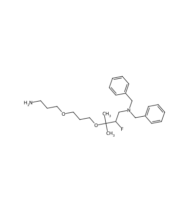 CC(C)(OCCCOCCCN)C(F)CN(Cc1ccccc1)Cc1ccccc1